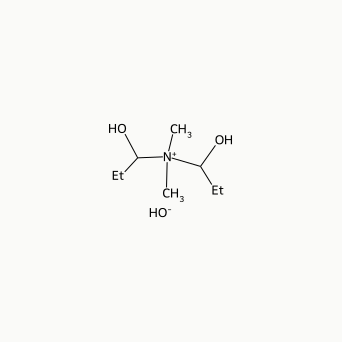 CCC(O)[N+](C)(C)C(O)CC.[OH-]